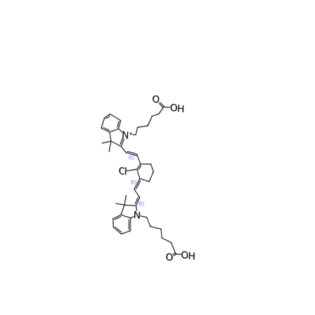 CC1(C)C(/C=C/C2=C(Cl)C(=C/C=C3/N(CCCCCC(=O)O)c4ccccc4C3(C)C)/CCC2)=[N+](CCCCCC(=O)O)c2ccccc21